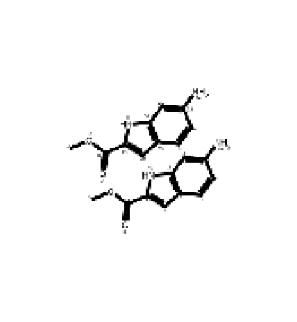 COC(=O)c1cc2ccc(N)cc2[nH]1.COC(=O)c1cc2ccc(N)cc2[nH]1